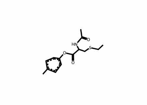 CCSCC(NC(C)=O)C(=O)Oc1ccc(C)cc1